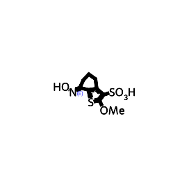 COc1sc2c(c1S(=O)(=O)O)CCC/C2=N\O